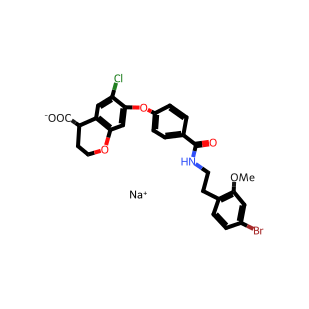 COc1cc(Br)ccc1CCNC(=O)c1ccc(Oc2cc3c(cc2Cl)C(C(=O)[O-])CCO3)cc1.[Na+]